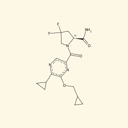 NC(=O)[C@@H]1CC(F)(F)CN1C(=O)c1cnc(C2CC2)c(OCC2CC2)n1